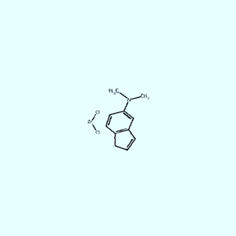 CN(C)c1ccc2c(c1)C=C[CH]2.[Cl][Zr][Cl]